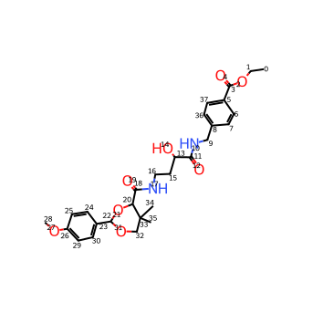 CCOC(=O)c1ccc(CNC(=O)C(O)CCNC(=O)C2OC(c3ccc(OC)cc3)OCC2(C)C)cc1